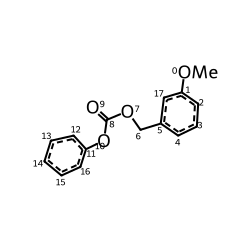 COc1cccc(COC(=O)Oc2ccccc2)c1